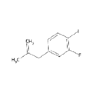 C=C(C)Cc1ccc(I)c(F)c1